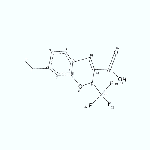 CCc1ccc2c(c1)OC(C(F)(F)F)C(C(=O)O)=C2